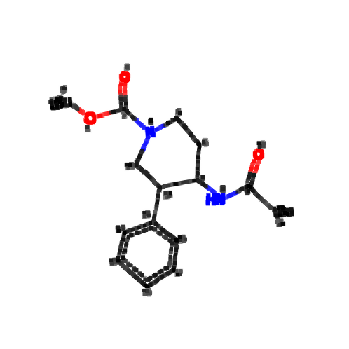 CC(C)(C)OC(=O)N1CCC(NC(=O)C(C)(C)C)C(c2ccccc2)C1